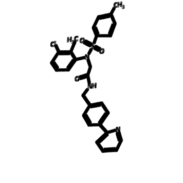 Cc1ccc(S(=O)(=O)N(CC(=O)NCc2ccc(-c3ccccn3)cc2)c2cccc(Cl)c2C)cc1